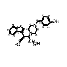 CC(C(=C=O)c1csc2ccccc12)N1CCN(Cc2ccc(O)cc2)CC1.Cl